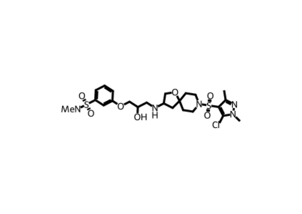 CNS(=O)(=O)c1cccc(OCC(O)CNC2COC3(CCN(S(=O)(=O)c4c(C)nn(C)c4Cl)CC3)C2)c1